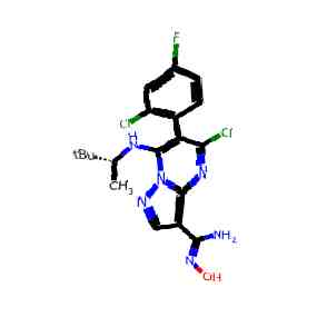 C[C@@H](Nc1c(-c2ccc(F)cc2Cl)c(Cl)nc2c(/C(N)=N/O)cnn12)C(C)(C)C